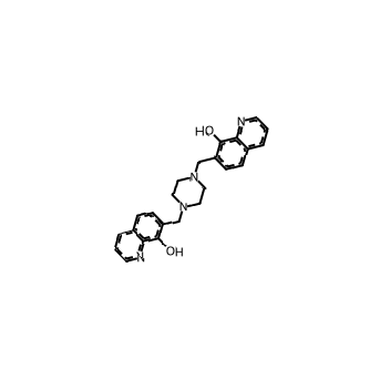 Oc1c(CN2CCN(Cc3ccc4cccnc4c3O)CC2)ccc2cccnc12